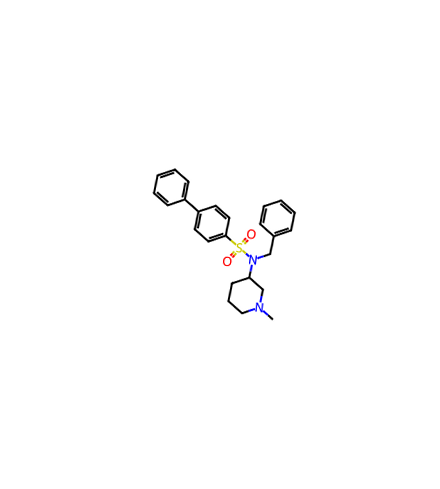 CN1CCCC(N(Cc2ccccc2)S(=O)(=O)c2ccc(-c3ccccc3)cc2)C1